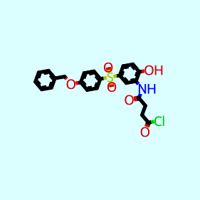 O=C(Cl)CCC(=O)Nc1cc(S(=O)(=O)c2ccc(OCc3ccccc3)cc2)ccc1O